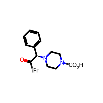 CC(C)C(=O)[C@@H](c1ccccc1)N1CCN(C(=O)O)CC1